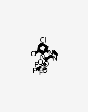 O=S(=O)(Oc1nc2c(Cl)cc(Cl)cc2n2ccnc12)C(F)(F)F